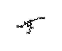 CCCCCCCCCCCCCCNc1nc(NCCS)nc(N(C)CCNCC)n1